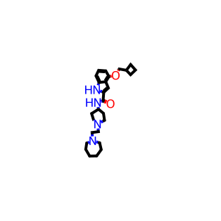 O=C(NC1CCN(CCN2CCCCCC2)CC1)c1cc2c(OCC3CCC3)cccc2[nH]1